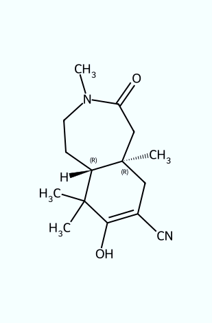 CN1CC[C@H]2C(C)(C)C(O)=C(C#N)C[C@]2(C)CC1=O